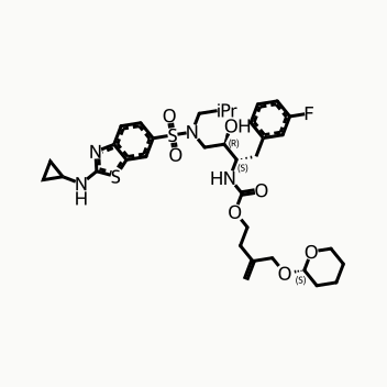 C=C(CCOC(=O)N[C@@H](Cc1cccc(F)c1)[C@H](O)CN(CC(C)C)S(=O)(=O)c1ccc2nc(NC3CC3)sc2c1)CO[C@H]1CCCCO1